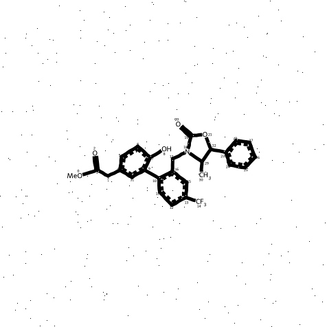 COC(=O)Cc1ccc(O)c(-c2ccc(C(F)(F)F)cc2CN2C(=O)OC(c3ccccc3)C2C)c1